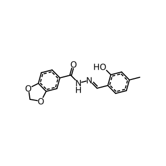 Cc1ccc(C=NNC(=O)c2ccc3c(c2)OCO3)c(O)c1